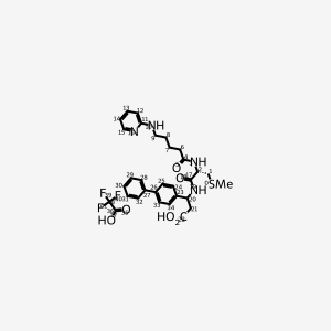 CSC[C@@H](NC(=O)CCCCNc1ccccn1)C(=O)NC(CC(=O)O)c1ccc(-c2ccccc2)cc1.O=C(O)C(F)(F)F